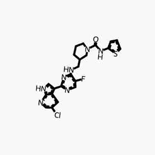 O=C(Nc1cccs1)N1CCCC(CNc2nc(-c3c[nH]c4ncc(Cl)cc34)ncc2F)C1